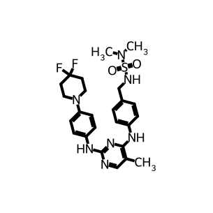 Cc1cnc(Nc2ccc(N3CCC(F)(F)CC3)cc2)nc1Nc1ccc(CNS(=O)(=O)N(C)C)cc1